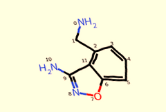 NCc1cccc2onc(N)c12